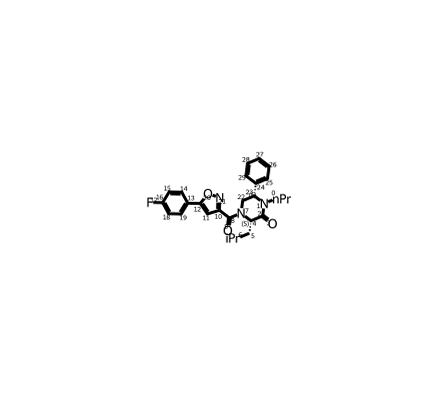 CCCN1C(=O)[C@H](CC(C)C)N(C(=O)c2cc(-c3ccc(F)cc3)on2)C[C@@H]1c1ccccc1